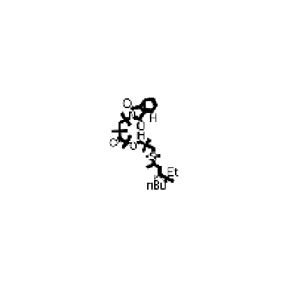 CCCCC(C)(CC)[C@H](I)CC(C)[Si](C)(C)CC(C)(C)COC(C)(C)C(=O)C(C)(C)CC(C)(C)N1C(=O)C2C3C=C[C@@H](C3)C2C1O